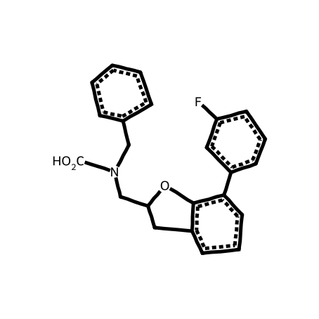 O=C(O)N(Cc1ccccc1)CC1Cc2cccc(-c3cccc(F)c3)c2O1